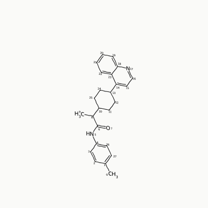 Cc1ccc(NC(=O)C(C)C2CCC(c3ccnc4ccccc34)CC2)cc1